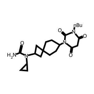 CCCCN1C(=O)CC(=O)N(C2CCC3(CC2)CC(N(C(N)=O)C2CC2)C3)C1=O